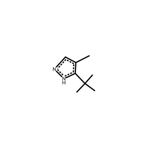 Cc1cn[nH]c1C(C)(C)C